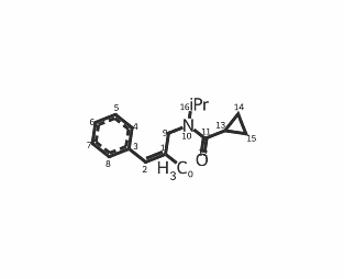 C/C(=C/c1ccccc1)CN(C(=O)C1CC1)C(C)C